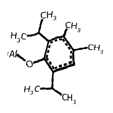 Cc1cc(C(C)C)c([O][Al])c(C(C)C)c1C